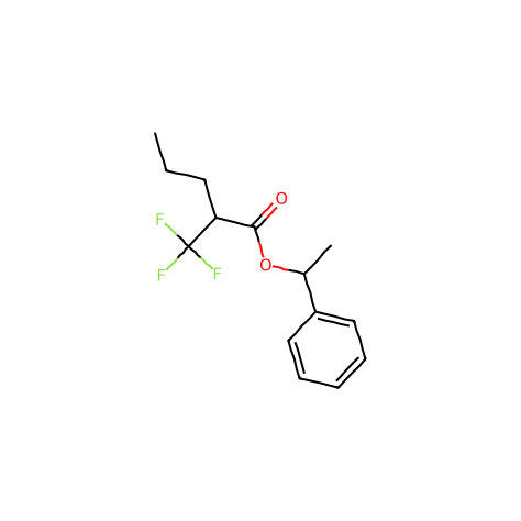 CCCC(C(=O)OC(C)c1ccccc1)C(F)(F)F